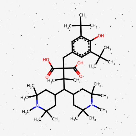 CN1C(C)(C)CC(C(C2CC(C)(C)N(C)C(C)(C)C2)C(C)(C)C(Cc2cc(C(C)(C)C)c(O)c(C(C)(C)C)c2)(C(=O)O)C(=O)O)CC1(C)C